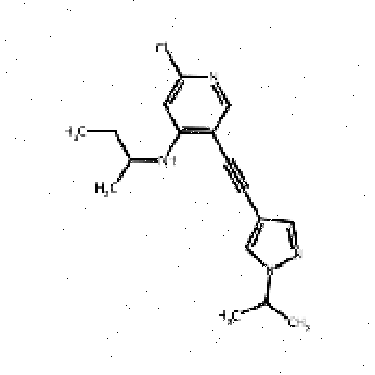 CCC(C)Nc1cc(Cl)ncc1C#Cc1cnn(C(C)C)c1